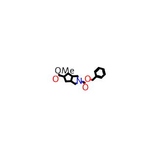 COC(=O)C1CC2CN(C(=O)OCc3ccccc3)CC2C1